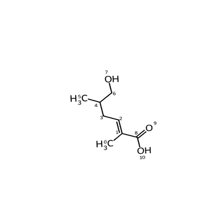 C/C(=C\CC(C)CO)C(=O)O